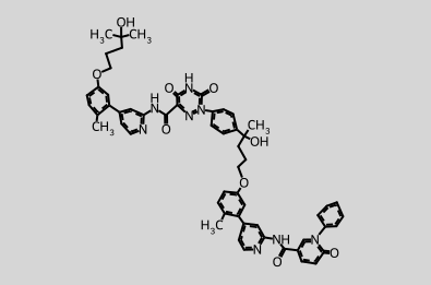 Cc1ccc(OCCCC(C)(C)O)cc1-c1ccnc(NC(=O)c2nn(-c3ccc(C(C)(O)CCCOc4ccc(C)c(-c5ccnc(NC(=O)c6ccc(=O)n(-c7ccccc7)c6)c5)c4)cc3)c(=O)[nH]c2=O)c1